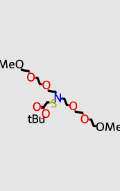 COCCOCCOCCN(CCOCCOCCOC)SCC(=O)OC(C)(C)C